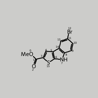 COC(=O)c1cc2c([nH]c3ccc(Br)cc32)s1